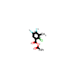 CCCC(=O)OC(=O)c1cc(F)c(F)c(C)c1Cl